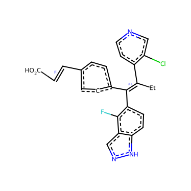 CC/C(=C(/c1ccc(/C=C/C(=O)O)cc1)c1ccc2[nH]ncc2c1F)c1ccncc1Cl